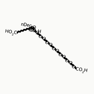 CCCCCCCCCCC[C@@](CCCCCCCCCCC(=O)O)(C(=O)O)C(=O)NCCOCCOCCOCCOCCOCCOCCOCCOCCOCCOCCOCCOCCC(=O)O